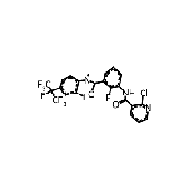 O=C(Nc1cccc(C(=O)N(I)c2ccc(C(F)(C(F)(F)F)C(F)(F)F)cc2I)c1F)c1cccnc1Cl